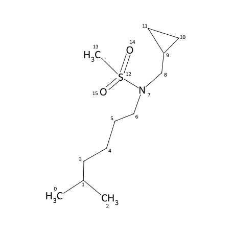 CC(C)CCCCN(CC1CC1)S(C)(=O)=O